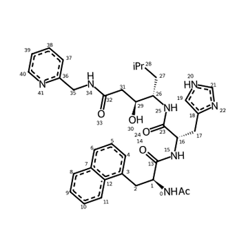 CC(=O)N[C@@H](Cc1cccc2ccccc12)C(=O)N[C@@H](Cc1c[nH]cn1)C(=O)N[C@@H](CC(C)C)[C@@H](O)CC(=O)NCc1ccccn1